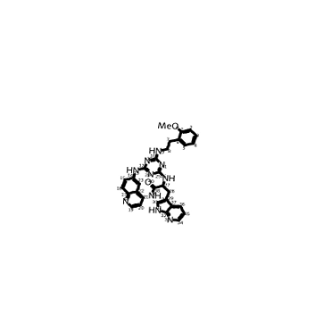 COc1ccccc1CCNc1nc(Nc2ccc3ncccc3c2)nc(NC(Cc2c[nH]c3ncccc23)C(N)=O)n1